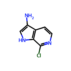 Nc1c[nH]c2c(Cl)nccc12